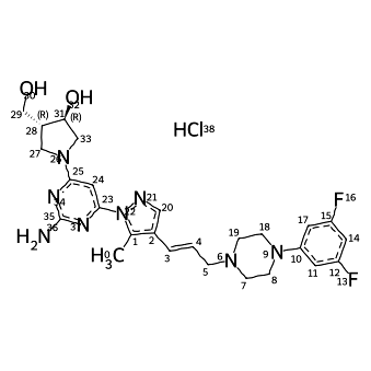 Cc1c(C=CCN2CCN(c3cc(F)cc(F)c3)CC2)cnn1-c1cc(N2C[C@H](CO)[C@@H](O)C2)nc(N)n1.Cl